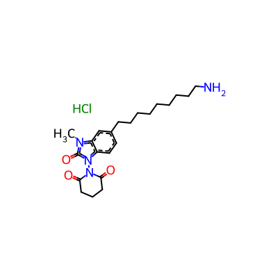 Cl.Cn1c(=O)n(N2C(=O)CCCC2=O)c2ccc(CCCCCCCCCN)cc21